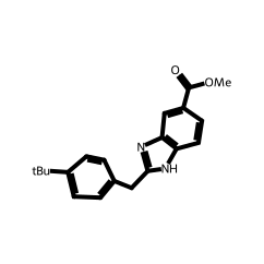 COC(=O)c1ccc2[nH]c(Cc3ccc(C(C)(C)C)cc3)nc2c1